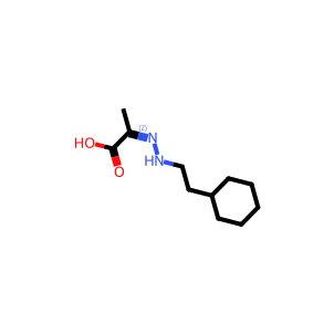 C/C(=N/NCCC1CCCCC1)C(=O)O